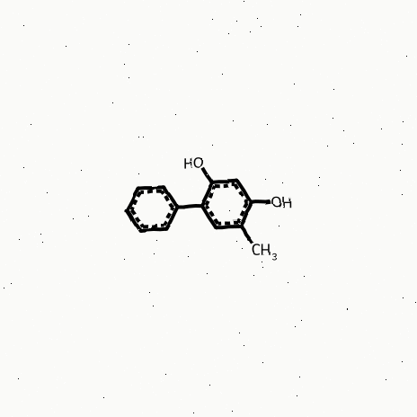 Cc1cc(-c2ccccc2)c(O)cc1O